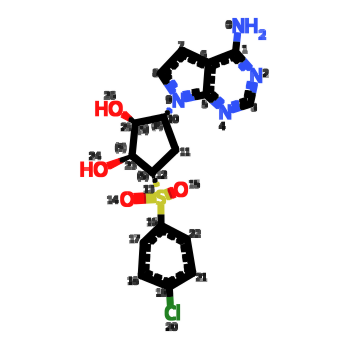 Nc1ncnc2c1ccn2[C@@H]1C[C@H](S(=O)(=O)c2ccc(Cl)cc2)[C@@H](O)[C@H]1O